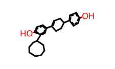 Oc1ccc(C2CC=C(c3ccc(O)c(C4CCCCCCC4)c3)CC2)cc1